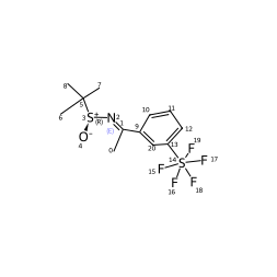 C/C(=N\[S@@+]([O-])C(C)(C)C)c1cccc(S(F)(F)(F)(F)F)c1